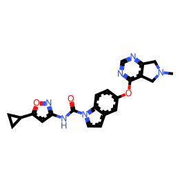 CN1Cc2ncnc(Oc3ccc4c(ccn4C(=O)Nc4cc(C5CC5)on4)c3)c2C1